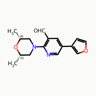 C[C@@H]1CN(c2ncc(-c3ccoc3)cc2C=O)C[C@H](C)O1